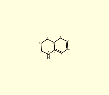 [C]1CCC2CC=CC=C2N1